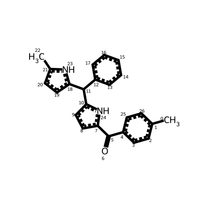 Cc1ccc(C(=O)c2ccc(C(c3ccccc3)c3ccc(C)[nH]3)[nH]2)cc1